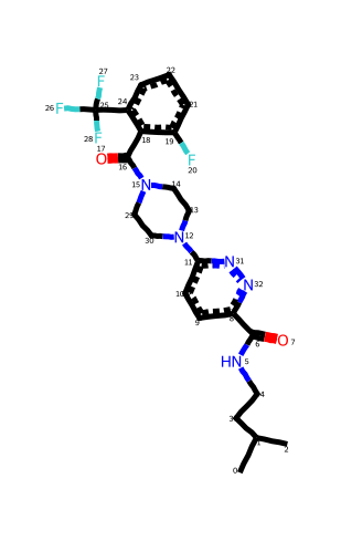 CC(C)CCNC(=O)c1ccc(N2CCN(C(=O)c3c(F)cccc3C(F)(F)F)CC2)nn1